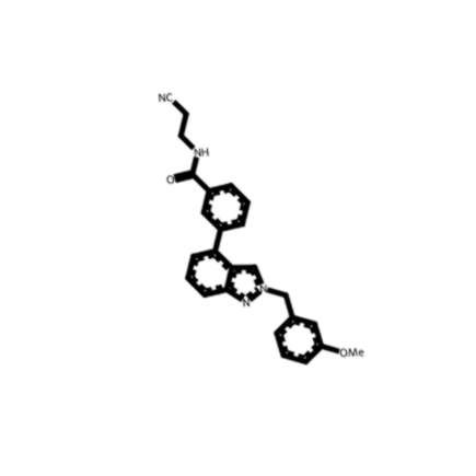 COc1cccc(Cn2cc3c(-c4cccc(C(=O)NCCC#N)c4)cccc3n2)c1